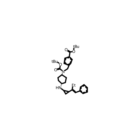 CC/C(=C\c1ccccc1)C1CC1N[C@H]1CC[C@@H](N(Cc2ccc(C(=O)OC(C)(C)C)cc2)C(=O)OC(C)(C)C)CC1